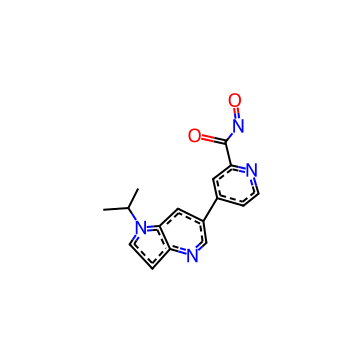 CC(C)n1ccc2ncc(-c3ccnc(C(=O)N=O)c3)cc21